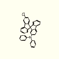 Clc1ccc2c(c1)-c1ccccc1C21c2ccccc2-c2ccc(N(c3ccccc3)c3ccccc3)cc21